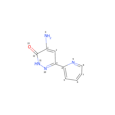 Nc1cc(-c2ccccn2)n[nH]c1=O